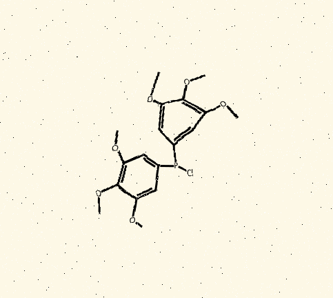 COc1cc(P(Cl)c2cc(OC)c(OC)c(OC)c2)cc(OC)c1OC